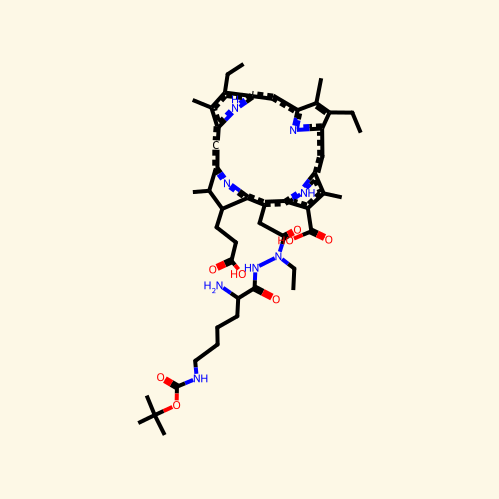 CCC1=C(C)c2cc3[nH]c(cc4nc(c(CC(=O)N(CC)NC(=O)C(N)CCCCNC(=O)OC(C)(C)C)c5[nH]c(cc1n2)c(C)c5C(=O)O)C(CCC(=O)O)C4C)c(C)c3CC